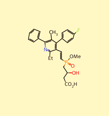 CCc1nc(-c2ccccc2)c(C)c(-c2ccc(F)cc2)c1/C=C/P(=O)(C[C@@H](O)CC(=O)O)OC